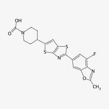 Cc1nc2c(F)cc(-c3nc4sc(C5CCN(C(=O)O)CC5)cc4s3)cc2o1